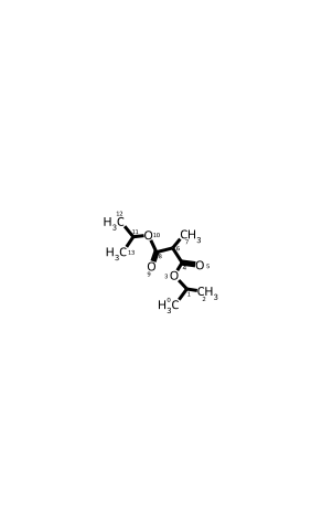 CC(C)OC(=O)C(C)C(=O)OC(C)C